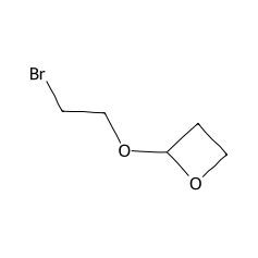 BrCCOC1CCO1